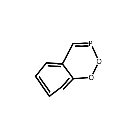 C1=POOc2ccccc21